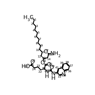 CCCCCCCCCCCCC[C@@H](CC(N)=O)OC(=O)[C@H](CCCC(=O)O)NC(=O)Nc1cnc2ccccc2c1